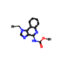 CC(C)Cn1cnc2c(NC(=O)OC(C)C)nc3ccccc3c21